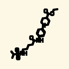 CCOC(=O)C1CCN(c2ccc(NC(=O)CCCCNS(=O)(=O)C(C)C)cc2)CC1